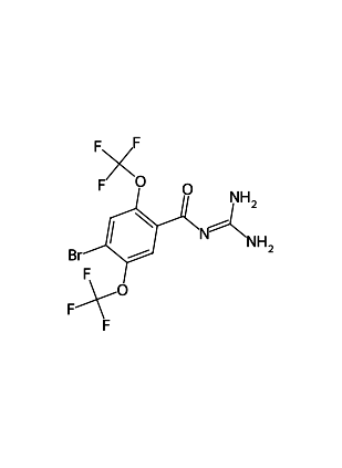 NC(N)=NC(=O)c1cc(OC(F)(F)F)c(Br)cc1OC(F)(F)F